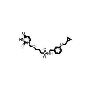 O=c1ccn(COCCCS(=O)(=O)NCc2cccc(OCC3CC3)c2)c(=O)[nH]1